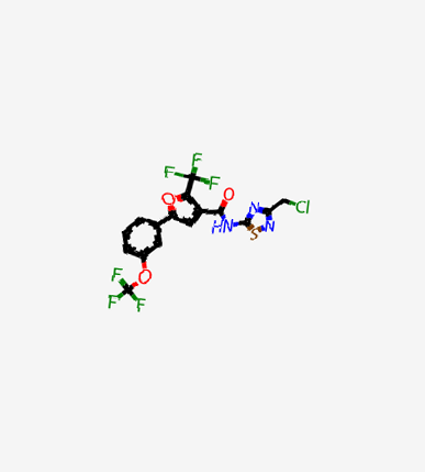 O=C(Nc1nc(CCl)ns1)c1cc(-c2cccc(OC(F)(F)F)c2)oc1C(F)(F)F